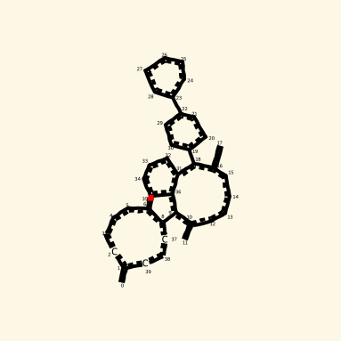 C=c1ccccc(=C)c(-c2c(=C)ccccc(=C)c(-c3ccc(-c4ccccc4)cc3)c3ccccc23)ccc1